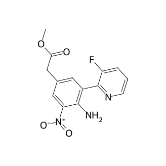 COC(=O)Cc1cc(-c2ncccc2F)c(N)c([N+](=O)[O-])c1